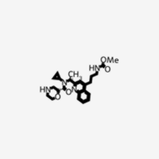 COC(=O)NCCCc1cc([C@@H](C)N(C(=O)[C@H]2CNCCO2)C2CC2)nc2ccccc12